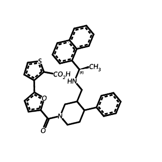 C[C@@H](NCC1CN(C(=O)c2ccc(-c3ccsc3C(=O)O)o2)CCC1c1ccccc1)c1cccc2ccccc12